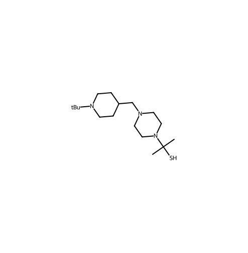 CC(C)(C)N1CCC(CN2CCN(C(C)(C)S)CC2)CC1